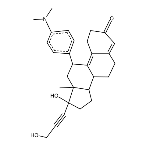 CN(C)c1ccc(C2CC3(C)C(CCC3(O)C#CCO)C3CCC4=CC(=O)CCC4=C23)cc1